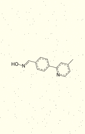 Cc1ccnc(-c2ccc(/C=N/O)cc2)c1